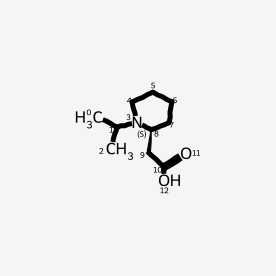 CC(C)N1CCCC[C@H]1CC(=O)O